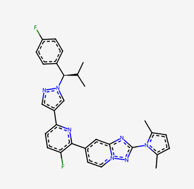 Cc1ccc(C)n1-c1nc2cc(-c3nc(-c4cnn([C@@H](c5ccc(F)cc5)C(C)C)c4)ccc3F)ccn2n1